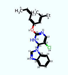 C\C=C/C=C(\C=C(/C)CC)OC1=NC=C(Cl)C(n2cnc3ccccc32)N1